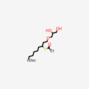 CCCCCCCCCCCCCCCC(CCOCC(O)CO)SC(=O)CC